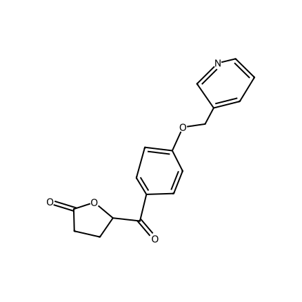 O=C1CCC(C(=O)c2ccc(OCc3cccnc3)cc2)O1